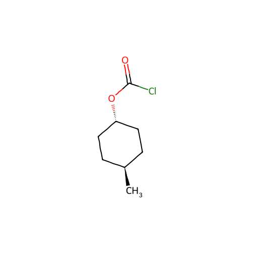 C[C@H]1CC[C@H](OC(=O)Cl)CC1